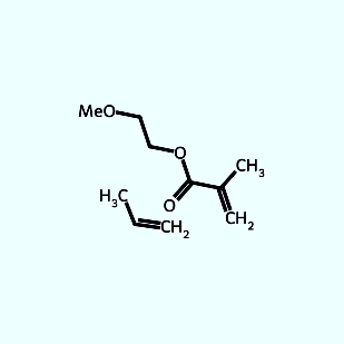 C=C(C)C(=O)OCCOC.C=CC